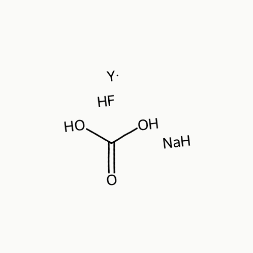 F.O=C(O)O.[NaH].[Y]